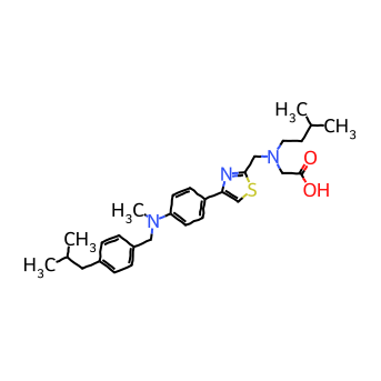 CC(C)CCN(CC(=O)O)Cc1nc(-c2ccc(N(C)Cc3ccc(CC(C)C)cc3)cc2)cs1